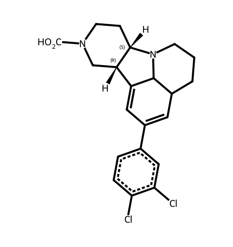 O=C(O)N1CC[C@H]2[C@@H](C1)C1=CC(c3ccc(Cl)c(Cl)c3)=CC3CCCN2C13